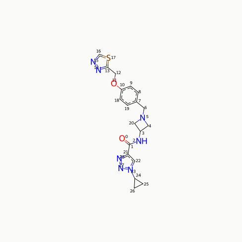 O=C(NC1CN(Cc2ccc(OCc3nncs3)cc2)C1)c1cn(C2CC2)nn1